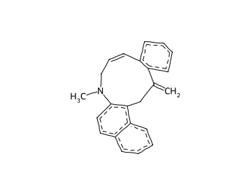 C=C1Cc2c(ccc3ccccc23)N(C)C/C=C\c2ccccc21